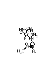 CC#CC(=O)Nc1cc(-n2cc(-c3cc4c(cc3F)C(=O)NCC4(C)C)c(N)n2)ccc1C